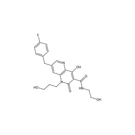 O=C(NCCO)c1c(O)c2ncc(Cc3ccc(F)cc3)cc2n(CCCO)c1=O